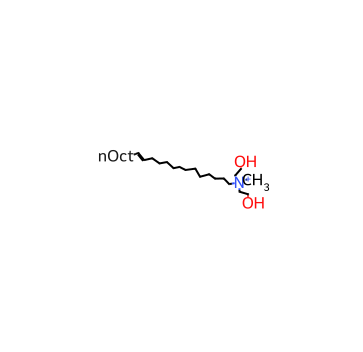 CCCCCCCCC=CCCCCCCCCCCCC[N+](C)(CCO)CCO